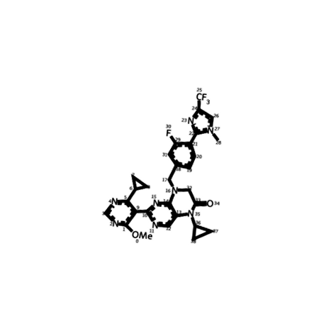 COc1ncnc(C2CC2)c1-c1ncc2c(n1)N(Cc1ccc(-c3nc(C(F)(F)F)cn3C)c(F)c1)CC(=O)N2C1CC1